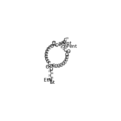 C=C=C=C=C1C(CCCCC)CC(=O)OCCCCCCCCC(C(=O)OCCCCN(CC)CC)CCCCCCCCOC(=O)CC1CCCCC